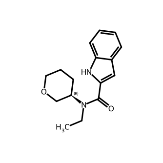 CCN(C(=O)c1cc2ccccc2[nH]1)[C@@H]1CCCOC1